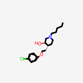 CCCCCN1CC[C@H](CCOc2ccc(Cl)cc2)[C@@H](O)C1